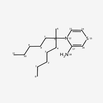 CCCCCC(C)(CCCCC)N1C=CSC=C1N